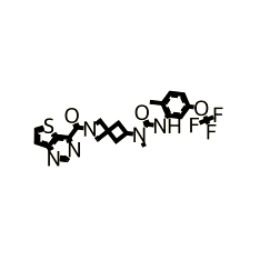 Cc1ccc(OC(F)(F)F)cc1NC(=O)N(C)C1CC2(C1)CN(C(=O)c1ncnc3ccsc13)C2